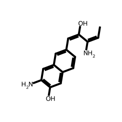 C/C=C(N)\C(O)=C/c1ccc2cc(O)c(N)cc2c1